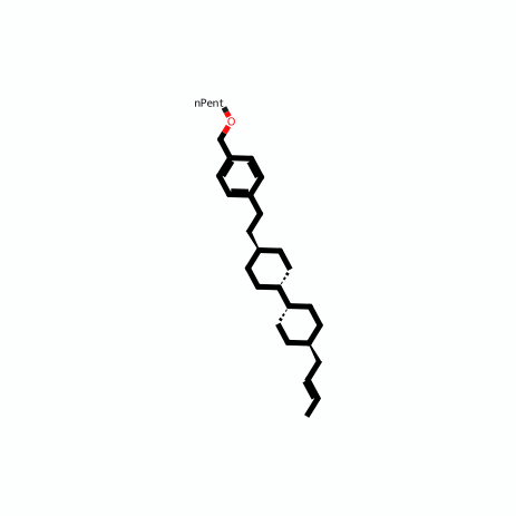 CC=CC[C@H]1CC[C@H]([C@H]2CC[C@H](CCc3ccc(COCCCCC)cc3)CC2)CC1